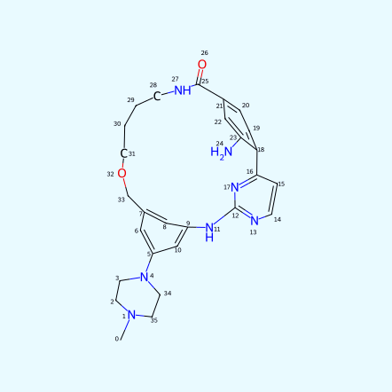 CN1CCN(c2cc3cc(c2)Nc2nccc(n2)-c2ccc(cc2N)C(=O)NCCCCOC3)CC1